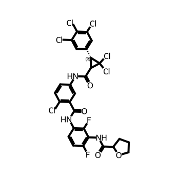 O=C(Nc1ccc(F)c(NC(=O)C2CCCO2)c1F)c1cc(NC(=O)C2[C@H](c3cc(Cl)c(Cl)c(Cl)c3)C2(Cl)Cl)ccc1Cl